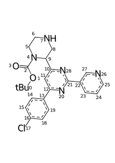 CC(C)(C)OC(=O)N1CCNCC1c1cc(-c2ccc(Cl)cc2)nc(-c2cccnc2)n1